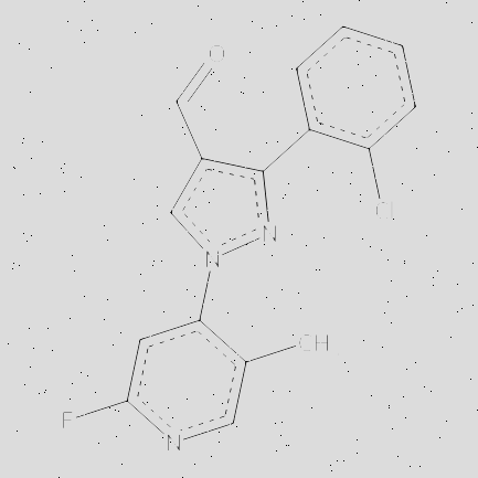 Cc1cnc(F)cc1-n1cc(C=O)c(-c2ccccc2Cl)n1